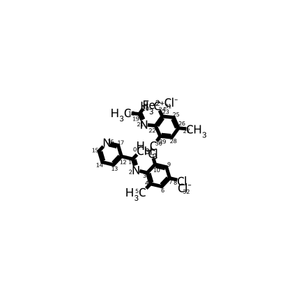 CC(=Nc1c(C)cc(Cl)cc1Cl)c1cccnc1.C[C]([Fe+2])=Nc1c(C)cc(C)cc1C.[Cl-].[Cl-]